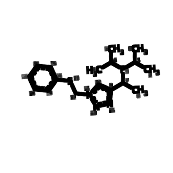 CC(C)P(C(C)C)C(C)c1cn(CSc2ccccc2)nn1